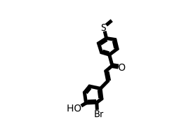 CSc1ccc(C(=O)/C=C/c2ccc(O)c(Br)c2)cc1